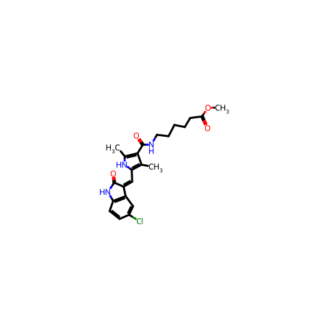 COC(=O)CCCCCNC(=O)c1c(C)[nH]c(/C=C2\C(=O)Nc3ccc(Cl)cc32)c1C